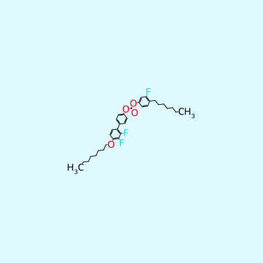 CCCCCCCCOc1ccc(-c2ccc(OC(=O)Oc3ccc(CCCCCCC)c(F)c3)cc2)c(F)c1F